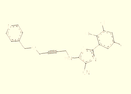 N#Cc1nc(-c2cc(Cl)cc(Cl)c2Cl)oc1NCC#CCOCc1ccncc1